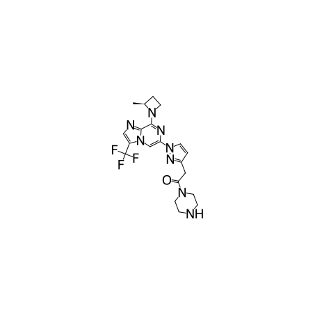 C[C@H]1CCN1c1nc(-n2ccc(CC(=O)N3CCNCC3)n2)cn2c(C(F)(F)F)cnc12